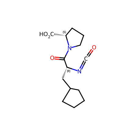 O=C=N[C@H](CC1CCCC1)C(=O)N1CCC[C@H]1C(=O)O